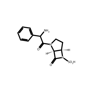 NC(C(=O)N1CC[C@@H]2[C@H]1C(=O)N2S(=O)(=O)O)c1ccccc1